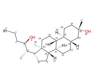 CC(C)CC[C@@H](O)[C@@H](C)[C@H]1CC[C@H]2[C@@H]3CC[C@H]4C[C@@](C)(O)CC[C@@H]4[C@H]3CC[C@]12C